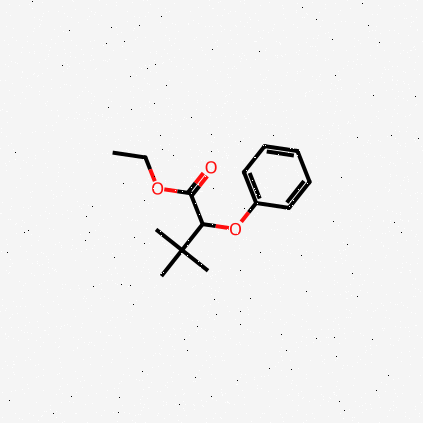 CCOC(=O)C(Oc1ccccc1)C(C)(C)C